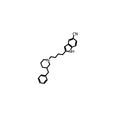 N#Cc1ccc2[nH]c(CCCCN3CCCC(Cc4ccccc4)C3)cc2c1